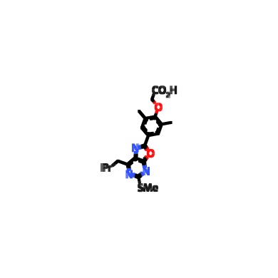 CSc1nc(CC(C)C)c2nc(-c3cc(C)c(OCC(=O)O)c(C)c3)oc2n1